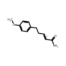 COc1ccc(CC/C=C/C(N)=O)cc1